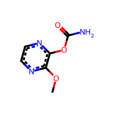 COc1nccnc1OC(N)=O